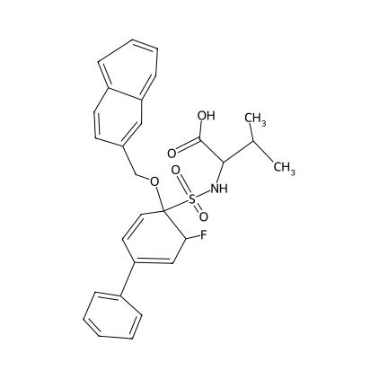 CC(C)C(NS(=O)(=O)C1(OCc2ccc3ccccc3c2)C=CC(c2ccccc2)=CC1F)C(=O)O